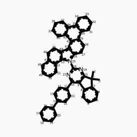 CC1(C)c2ccccc2-c2c(-c3ccc(-c4ccccc4)cc3)nc(-n3c4ccc5c6ccccc6c6ccccc6c5c4c4ccc5ccccc5c43)nc21